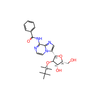 CC(C)(C)[Si](C)(C)OC1[C@@H](O)[C@@H](CO)O[C@H]1c1cnc2c(NC(=O)c3ccccc3)nccn12